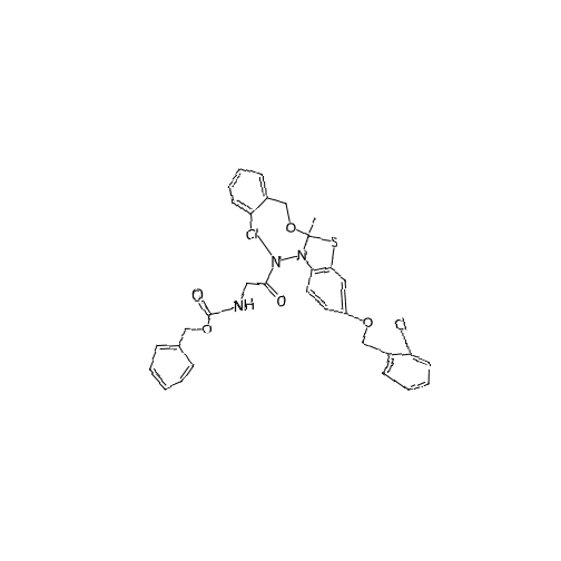 CN(C(=O)CNC(=O)OCc1ccccc1)N1c2ccc(OCc3ccccc3Cl)cc2SC1(C)OCc1ccccc1Cl